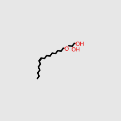 CCCCCC/C=C\CCCCCCCCOC[C@@H](O)CO